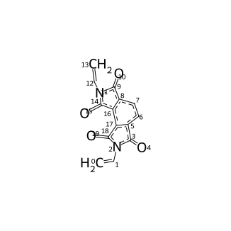 C=Cn1c(=O)c2ccc3c(=O)n(C=C)c(=O)c3c2c1=O